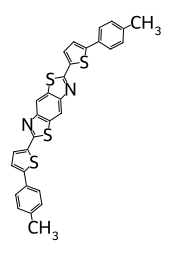 Cc1ccc(-c2ccc(-c3nc4cc5sc(-c6ccc(-c7ccc(C)cc7)s6)nc5cc4s3)s2)cc1